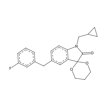 O=C1N(CC2CC2)c2ccc(Cc3cccc(F)c3)cc2C12OCCCO2